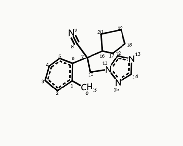 Cc1ccccc1C(C#N)(Cn1cncn1)C1CCCC1